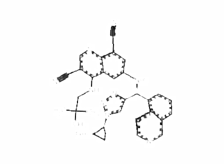 CC(C)(C)CNc1c(C#N)cnc2c(C#N)cc(N[C@H](c3cn([C@H]4C[C@@H]4F)nn3)c3cccc4cnccc34)cc12